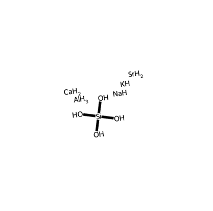 O[Si](O)(O)O.[AlH3].[CaH2].[KH].[NaH].[SrH2]